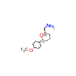 NC[C@H]1CCC[C@@H](c2ccc(OC(F)(F)F)cc2)O1